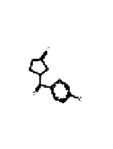 O=C1CCC(C(=O)c2ccc(Cl)cc2)C1